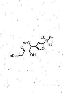 CCCCCCCCCCCC(=O)C(O)C(OC(C)=O)c1coc([Si](CC)(CC)CC)c1